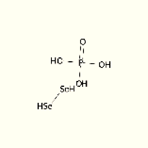 O=P(O)(O)O.[SeH][SeH]